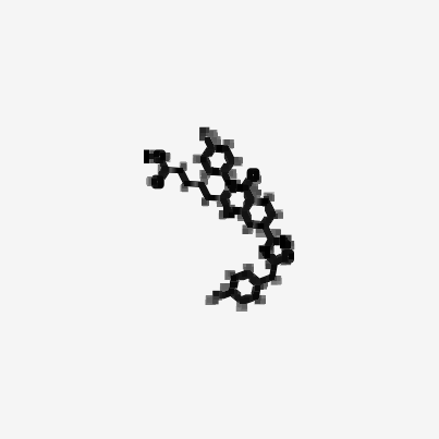 O=C(O)CCCCc1nc2cc(-c3noc(Cc4ccc(F)cc4)n3)ccc2c(=O)n1-c1ccc(F)cc1